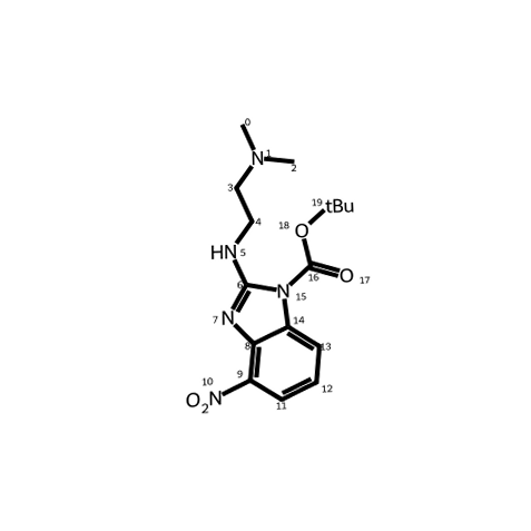 CN(C)CCNc1nc2c([N+](=O)[O-])cccc2n1C(=O)OC(C)(C)C